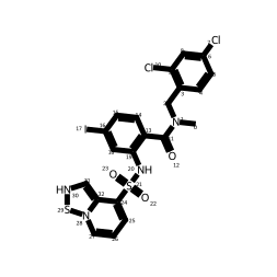 CN(Cc1ccc(Cl)cc1Cl)C(=O)c1ccc(I)cc1NS(=O)(=O)C1=CC=CN2SNC=C12